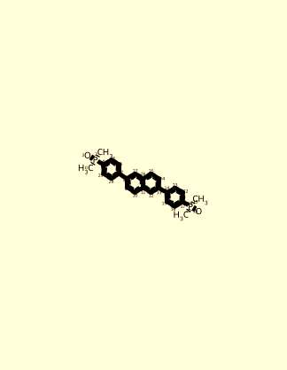 CP(C)(=O)c1ccc(-c2ccc3cc(-c4ccc(P(C)(C)=O)cc4)ccc3c2)cc1